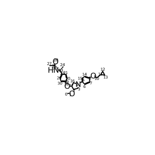 CO[C@H]1CN(c2ccc(OCC3CC3)cc2)C[C@@H]1Oc1ccc([C@H](C)NC(C)=O)cc1